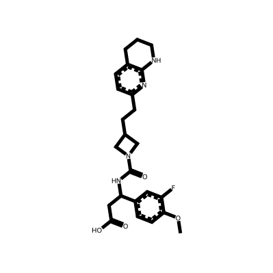 COc1ccc(C(CC(=O)O)NC(=O)N2CC(CCc3ccc4c(n3)NCCC4)C2)cc1F